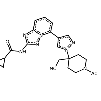 CC(=O)N1CCC(CC#N)(n2cc(-c3cccc4nc(NC(=O)C5CC5)nn34)cn2)CC1